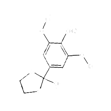 CCOc1cc(C2(C)OCCO2)cc(OCC)c1C=O